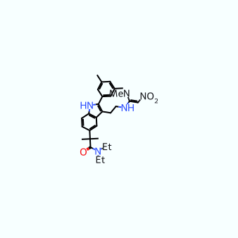 CCN(CC)C(=O)C(C)(C)c1ccc2[nH]c(-c3cc(C)cc(C)c3)c(CCN/C(=C/[N+](=O)[O-])NC)c2c1